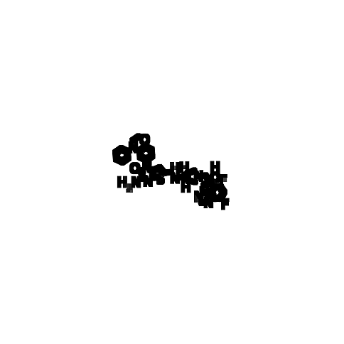 Nc1nc2sc(CNC3[C@H]4CN(CC(O)(Cn5cncn5)c5ccc(F)cc5F)C[C@@H]34)cc2n(-c2ccc3c(c2)N(c2ccccc2)CCO3)c1=O